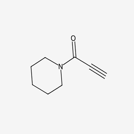 C#CC(=O)N1CCCCC1